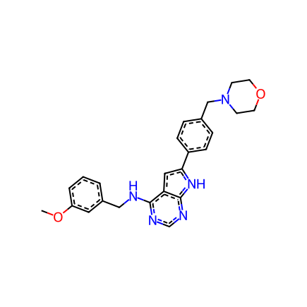 COc1cccc(CNc2ncnc3[nH]c(-c4ccc(CN5CCOCC5)cc4)cc23)c1